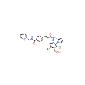 O=C(/C=C/c1ccc(C(=O)NCc2ccccn2)cc1)NCc1cccn1-c1ccc(Cl)c(CO)c1Cl